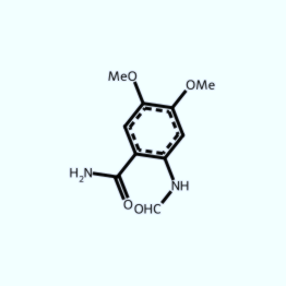 COc1cc(NC=O)c(C(N)=O)cc1OC